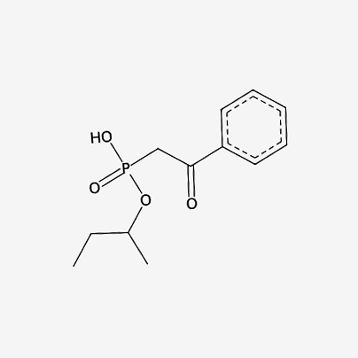 CCC(C)OP(=O)(O)CC(=O)c1ccccc1